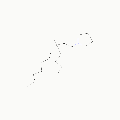 CCCCCCCC(C)(CCCC)CCN1CCCC1